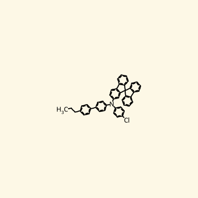 CCCc1ccc(-c2ccc(N(c3ccc(Cl)cc3)c3ccc4c(c3)C3(c5ccccc5-c5ccccc53)c3ccccc3-4)cc2)cc1